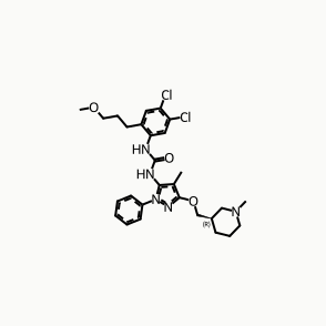 COCCCc1cc(Cl)c(Cl)cc1NC(=O)Nc1c(C)c(OC[C@@H]2CCCN(C)C2)nn1-c1ccccc1